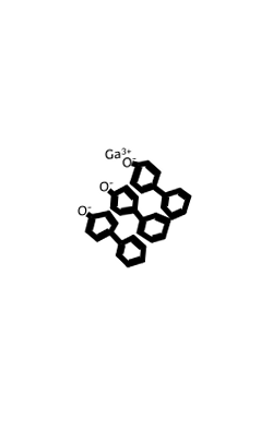 [Ga+3].[O-]c1ccc(-c2ccccc2)cc1.[O-]c1ccc(-c2ccccc2)cc1.[O-]c1ccc(-c2ccccc2)cc1